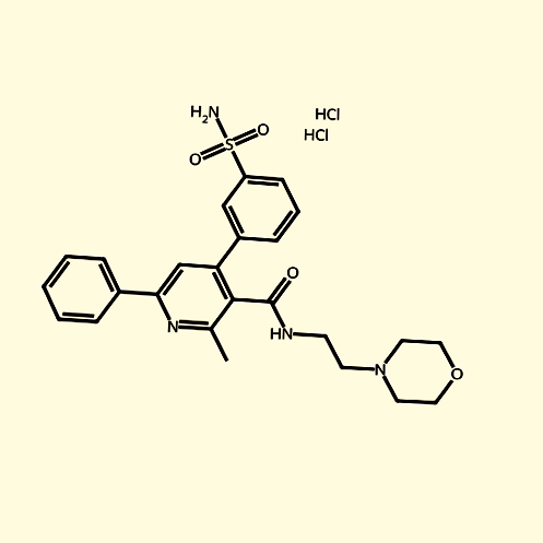 Cc1nc(-c2ccccc2)cc(-c2cccc(S(N)(=O)=O)c2)c1C(=O)NCCN1CCOCC1.Cl.Cl